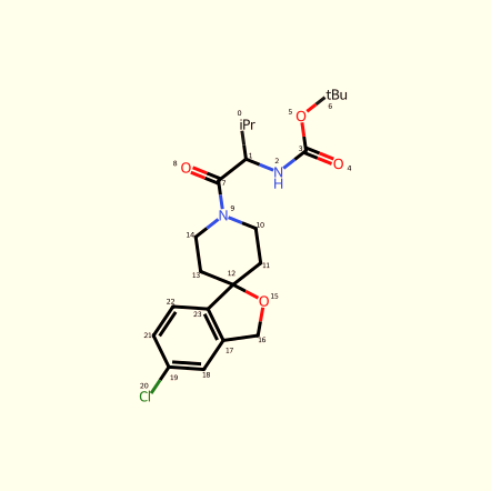 CC(C)C(NC(=O)OC(C)(C)C)C(=O)N1CCC2(CC1)OCc1cc(Cl)ccc12